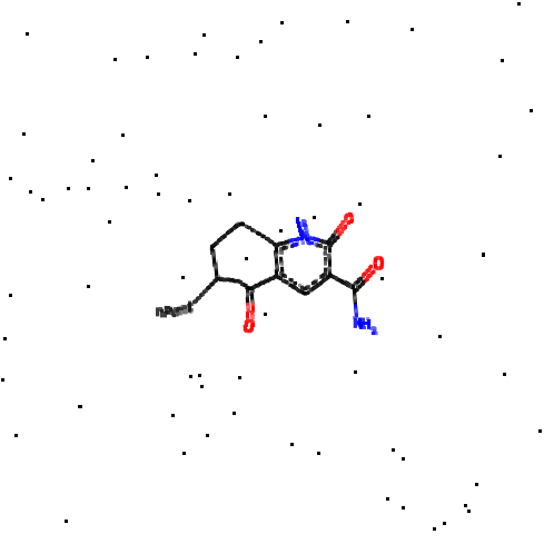 CCCCCC1CCc2[nH]c(=O)c(C(N)=O)cc2C1=O